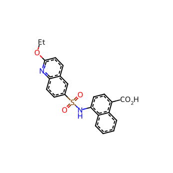 CCOc1ccc2cc(S(=O)(=O)Nc3ccc(C(=O)O)c4ccccc34)ccc2n1